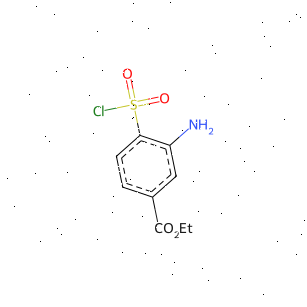 CCOC(=O)c1ccc(S(=O)(=O)Cl)c(N)c1